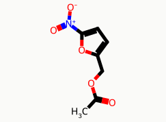 CC(=O)OCc1ccc([N+](=O)[O-])o1